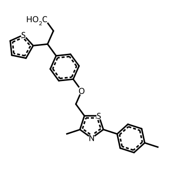 Cc1ccc(-c2nc(C)c(COc3ccc(C(CC(=O)O)c4cccs4)cc3)s2)cc1